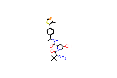 Cc1pcsc1-c1ccc(C(C)NC(=O)[C@@H]2C[C@@H](O)CN2C(=O)C(N)C(C)(C)C)cc1